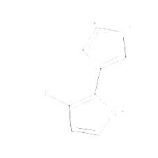 Ic1ccsc1-c1ccsc1